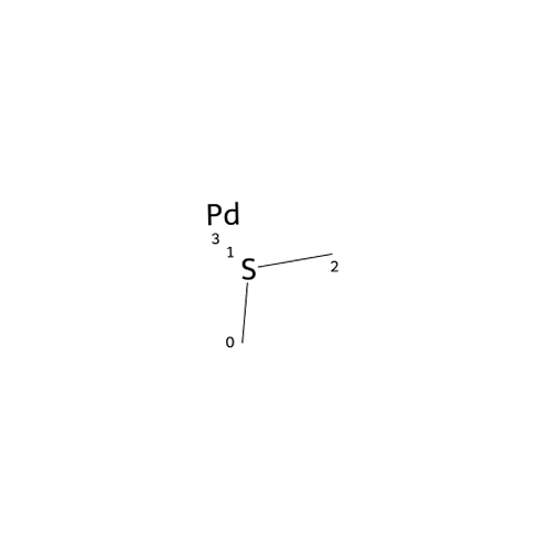 CSC.[Pd]